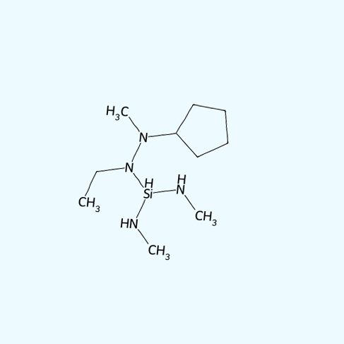 CCN(N(C)C1CCCC1)[SiH](NC)NC